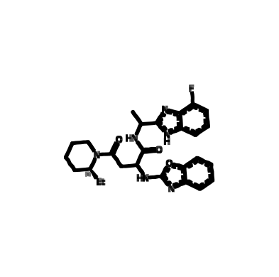 CC[C@H]1CCCCN1C(=O)CC(Nc1nc2ccccc2o1)C(=O)NC(C)c1nc2c(F)cccc2[nH]1